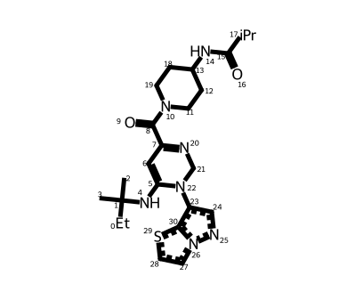 CCC(C)(C)NC1=CC(C(=O)N2CCC(NC(=O)C(C)C)CC2)=NCN1c1cnn2ccsc12